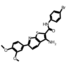 COc1ccc(-c2ccc3c(N)c(C(=O)Nc4ccc(Br)cc4)sc3n2)cc1OC